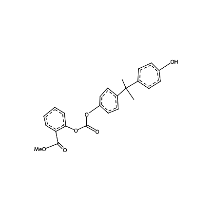 COC(=O)c1ccccc1OC(=O)Oc1ccc(C(C)(C)c2ccc(O)cc2)cc1